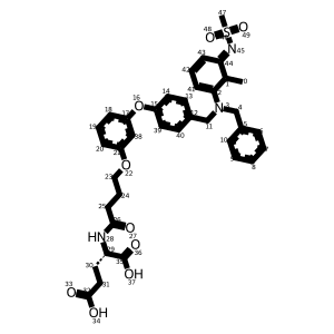 CC1C(N(Cc2ccccc2)Cc2ccc(Oc3cccc(OCCCC(=O)N[C@@H](CCC(=O)O)C(=O)O)c3)cc2)=CC=C/C1=N\S(C)(=O)=O